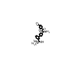 CCNC(=N)c1cccc(-c2ccc3c(c2)OC(C(=O)c2ccc(Cl)cc2Cl)C3N)c1